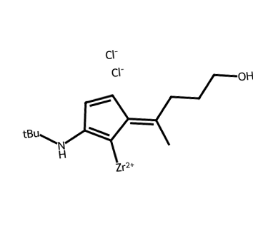 CC(CCCO)=C1C=CC(NC(C)(C)C)=[C]1[Zr+2].[Cl-].[Cl-]